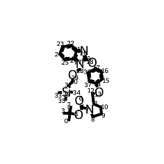 CC(C)(C)OC(=O)N1CCCC1COc1ccc(Oc2nc3ccccc3n2COCC[Si](C)(C)C)cc1